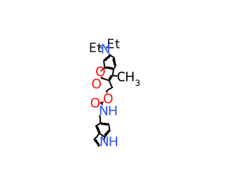 CCN(CC)c1ccc2c(C)c(CCOC(=O)NCc3ccc4[nH]ccc4c3)c(=O)oc2c1